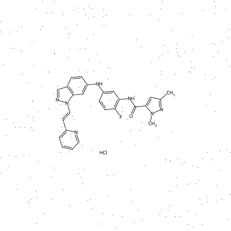 Cc1cc(C(=O)Nc2cc(Nc3ccc4cnn(C=Cc5ccccn5)c4c3)ccc2F)n(C)n1.Cl